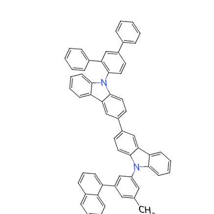 Cc1cc(-c2cccc3ccccc23)cc(-n2c3ccccc3c3cc(-c4ccc5c(c4)c4ccccc4n5-c4ccc(-c5ccccc5)cc4-c4ccccc4)ccc32)c1